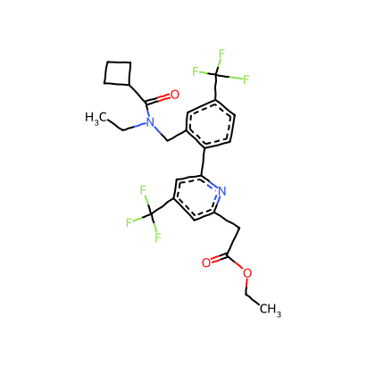 CCOC(=O)Cc1cc(C(F)(F)F)cc(-c2ccc(C(F)(F)F)cc2CN(CC)C(=O)C2CCC2)n1